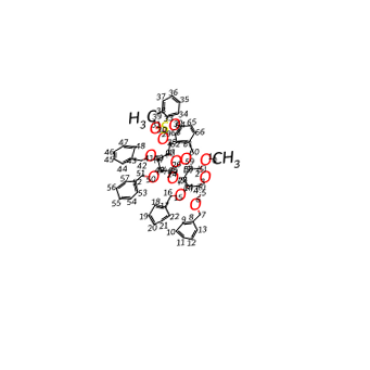 CO[C@H]1O[C@H](COCc2ccccc2)[C@@H](OCc2ccccc2)[C@H](O[C@H]2O[C@H](COS(=O)(=O)c3ccccc3C)[C@H](OCc3ccccc3)[C@H]2OCc2ccccc2)[C@@H]1OCc1ccccc1